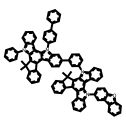 CC1(C)c2ccccc2-c2c1c1c(c3ccccc3n1-c1cccc(-c3ccc4c5c6c(c7c(c8ccccc8n7-c7ccccc7)c5n(-c5ccc(-c7ccccc7)cc5)c4c3)C(C)(C)c3ccccc3-6)c1)c1c2c2ccccc2n1-c1ccc2oc3ccccc3c2c1